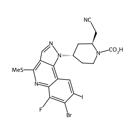 CSc1nc2c(F)c(Br)c(I)cc2c2c1cnn2[C@H]1CCN(C(=O)O)[C@H](CC#N)C1